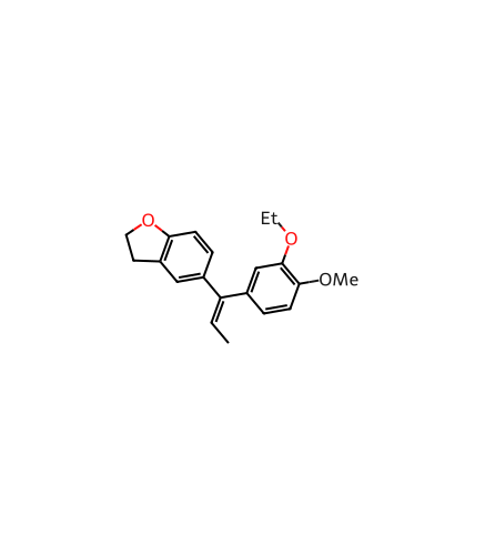 CC=C(c1ccc2c(c1)CCO2)c1ccc(OC)c(OCC)c1